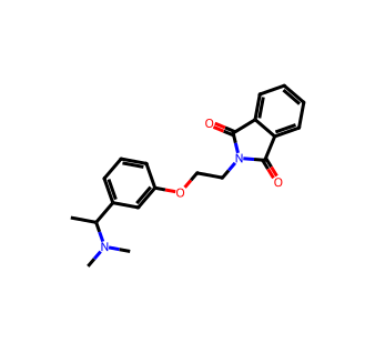 CC(c1cccc(OCCN2C(=O)c3ccccc3C2=O)c1)N(C)C